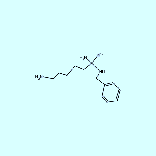 CCCC(N)(CCCCCN)NCc1ccccc1